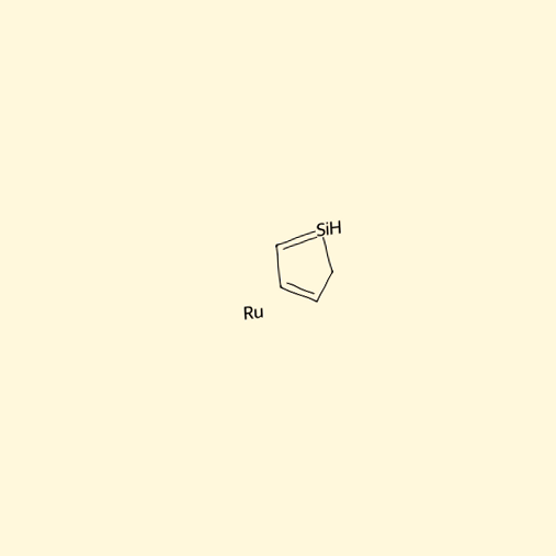 C1=CC[SiH]=C1.[Ru]